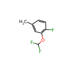 [CH2]c1ccc(F)c(OC(F)F)c1